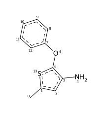 Cc1cc(N)c(Oc2ccccc2)s1